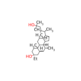 CC[C@]1(O)CC[C@@]2(C)C(=C[C@H](C)[C@H]3[C@@H]4CC[C@H]([C@H](C)CCC(C)(C)O)[C@@]4(C)CC[C@@H]32)C1